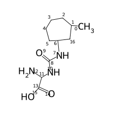 CC1CCCCC(NC(=O)NC(N)C(=O)O)C1